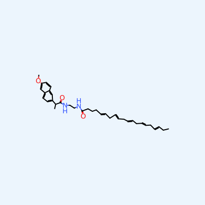 CCC=CCC=CCC=CCC=CCC=CCCCC(=O)NCCNC(=O)C(C)c1ccc2cc(OC)ccc2c1